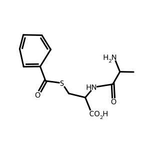 CC(N)C(=O)NC(CSC(=O)c1ccccc1)C(=O)O